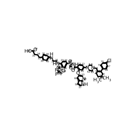 CC1(C)CCC(CN2CCN(c3ccc(C(=O)NS(=O)(=O)c4ccc(NCCNc5ccc(CCCC(=O)O)cc5)c(S(=O)(=O)C(F)(F)F)c4)c(Oc4cnc5[nH]ccc5c4)c3)CC2)=C(c2ccc(Cl)cc2)C1